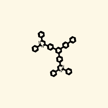 c1ccc(-c2ccc(-c3cc(-c4ccc(-c5cc(-c6ccccc6)nc(-c6ccccc6)n5)cc4)cc(-c4ccc(-c5cc(-c6ccccc6)nc(-c6ccccc6)n5)cc4)c3)cc2)cc1